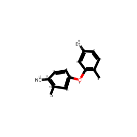 CCc1ccc(C)c(Oc2ccc(C#N)c(C)c2)c1